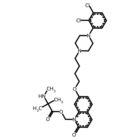 CNC(C)(C)C(=O)OCn1c(=O)ccc2ccc(OCCCCN3CCN(c4cccc(Cl)c4Cl)CC3)cc21